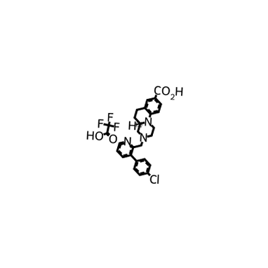 O=C(O)C(F)(F)F.O=C(O)c1ccc2c(c1)CC[C@H]1CN(Cc3ncccc3-c3ccc(Cl)cc3)CCN21